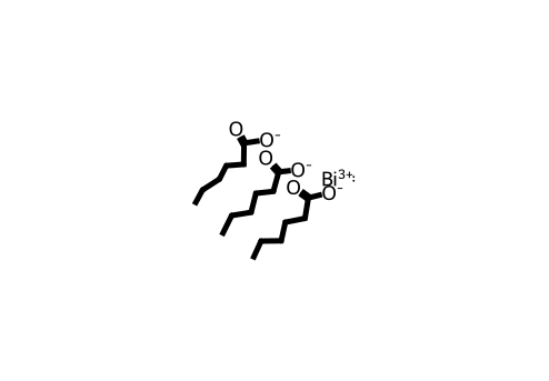 CCCCCC(=O)[O-].CCCCCC(=O)[O-].CCCCCC(=O)[O-].[Bi+3]